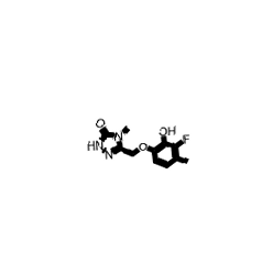 Cc1ccc(OCc2n[nH]c(=O)n2C)c(O)c1F